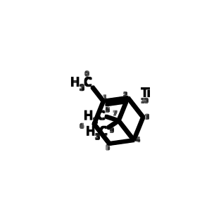 CC1=C2CC(CC1)C2(C)C.[Ti]